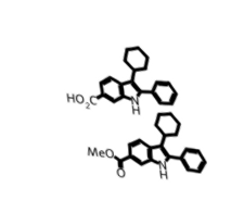 COC(=O)c1ccc2c(C3CCCCC3)c(-c3ccccc3)[nH]c2c1.O=C(O)c1ccc2c(C3CCCCC3)c(-c3ccccc3)[nH]c2c1